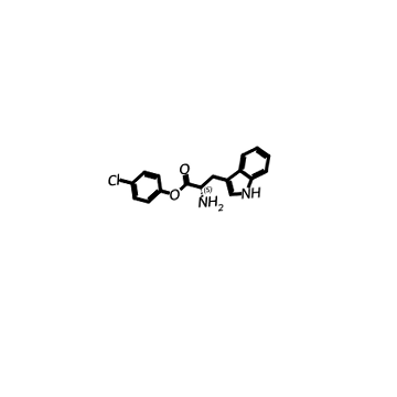 N[C@@H](Cc1c[nH]c2ccccc12)C(=O)Oc1ccc(Cl)cc1